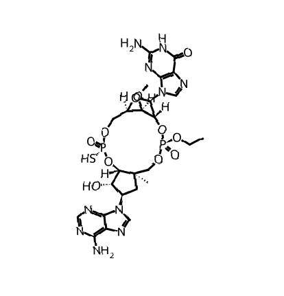 CCO[P@@]1(=O)OC[C@@]2(C)C[C@@H](n3cnc4c(N)ncnc43)[C@H](O)[C@@H]2O[P@](=O)(S)OC[C@H]2O[C@@H](n3cnc4c(=O)[nH]c(N)nc43)[C@H](O1)[C@@H]2OC